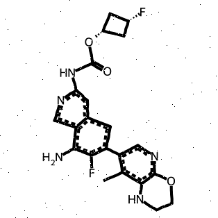 Cc1c(-c2cc3cc(NC(=O)O[C@H]4C[C@@H](F)C4)ncc3c(N)c2F)cnc2c1NCCO2